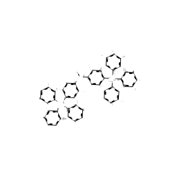 [O-][S+](c1ccc([Si](c2ccccc2)(c2ccccc2)c2ccccc2)cc1)c1ccc([Si](c2ccccc2)(c2ccccc2)c2ccccc2)cc1